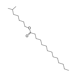 CCCCCCCCCCCCCC(=O)OCCCCCC(C)C